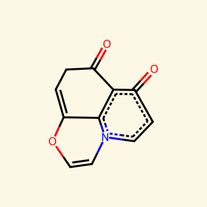 O=C1CC=C2OC=Cn3ccc(=O)c1c32